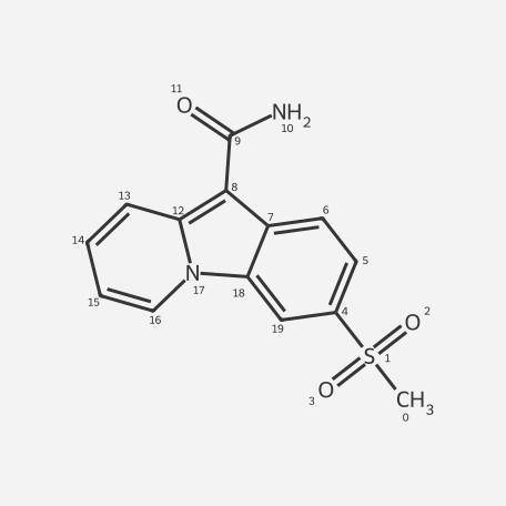 CS(=O)(=O)c1ccc2c(C(N)=O)c3ccccn3c2c1